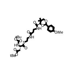 COc1ccc(C2OCC(C)(C)[C@H](C(=O)NCCC(=O)NCCSC(=O)[C@H](CC(=O)OC(C)(C)C)NC(=O)OC(C)(C)C)O2)cc1